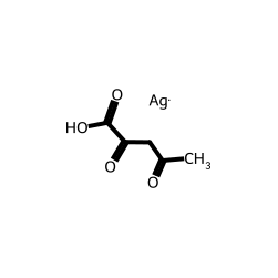 CC(=O)CC(=O)C(=O)O.[Ag]